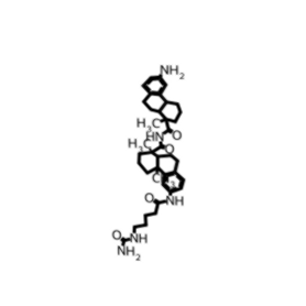 CC1(C(=O)NC(=O)[C@@]2(C)CCCC3(C)c4cc(NC(=O)CCCCNC(N)=O)ccc4CCC32)CCCC2c3cc(N)ccc3CCC21